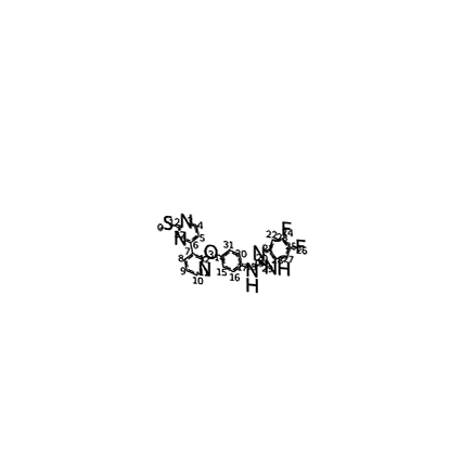 CSc1nccc(-c2cccnc2Oc2ccc(Nc3nc4cc(F)c(F)cc4[nH]3)cc2)n1